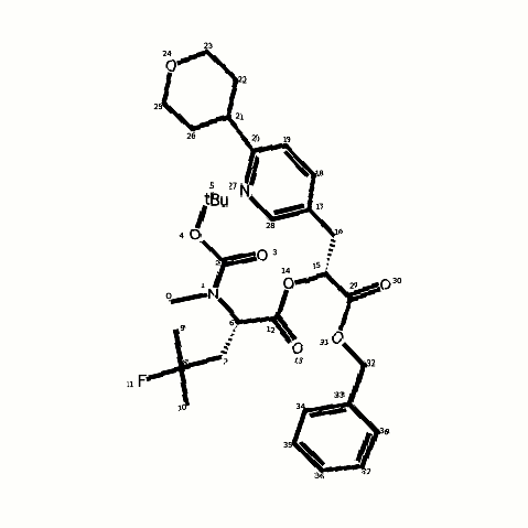 CN(C(=O)OC(C)(C)C)[C@@H](CC(C)(C)F)C(=O)O[C@H](Cc1ccc(C2CCOCC2)nc1)C(=O)OCc1ccccc1